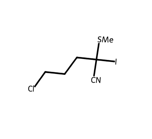 CSC(I)(C#N)CCCCl